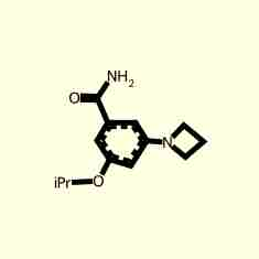 CC(C)Oc1cc(C(N)=O)cc(N2CCC2)c1